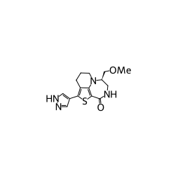 COC[C@H]1CNC(=O)c2sc(-c3cn[nH]c3)c3c2N1CCC3